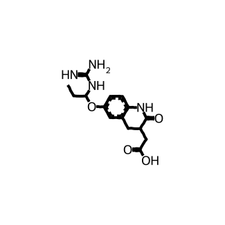 CCC(NC(=N)N)Oc1ccc2c(c1)CC(CC(=O)O)C(=O)N2